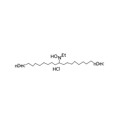 CCCCCCCCCCCCCCCCCCC(CCCCCCCCCCCCCCCCCC)N(O)CC.Cl